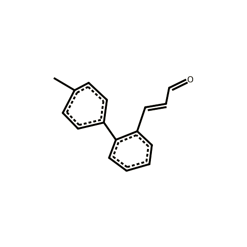 Cc1ccc(-c2ccccc2C=CC=O)cc1